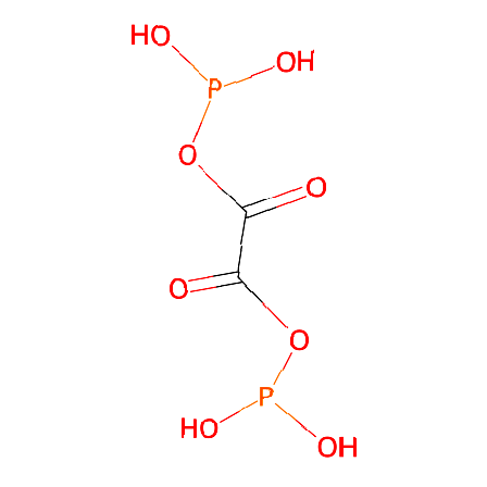 O=C(OP(O)O)C(=O)OP(O)O